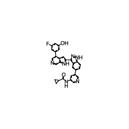 O=C(Nc1cncc(-c2ccc3[nH]nc(-c4cc5c(-c6cc(O)cc(F)c6)cncc5[nH]4)c3c2)c1)C1CC1